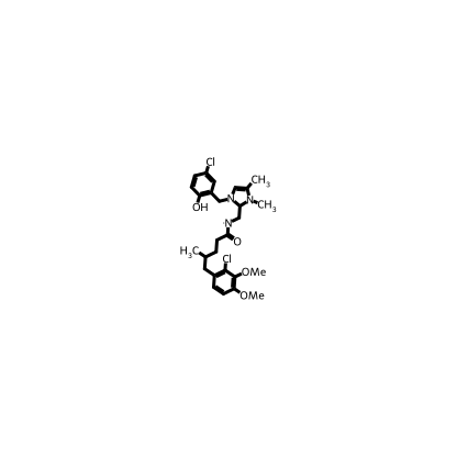 COc1ccc(CC(C)CCC(=O)[N]CC2N(Cc3cc(Cl)ccc3O)C=C(C)N2C)c(Cl)c1OC